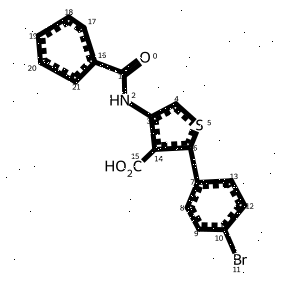 O=C(Nc1csc(-c2ccc(Br)cc2)c1C(=O)O)c1ccccc1